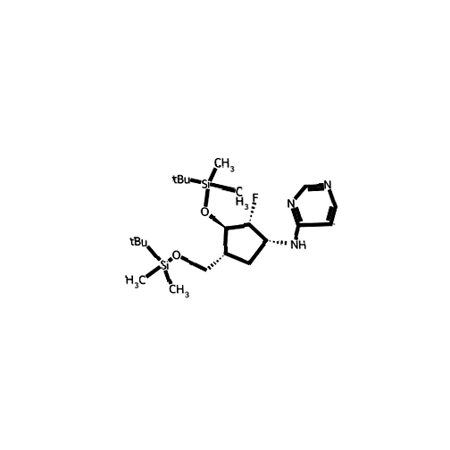 CC(C)(C)[Si](C)(C)OC[C@H]1C[C@@H](Nc2[c]cncn2)[C@@H](F)[C@@H]1O[Si](C)(C)C(C)(C)C